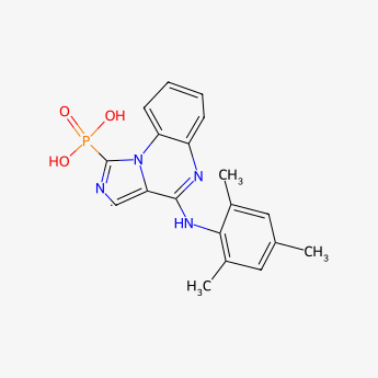 Cc1cc(C)c(Nc2nc3ccccc3n3c(P(=O)(O)O)n[c]c23)c(C)c1